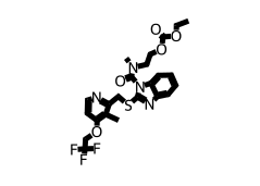 CCOC(=O)OCCN(C)C(=O)n1c(SCc2nccc(OCC(F)(F)F)c2C)nc2ccccc21